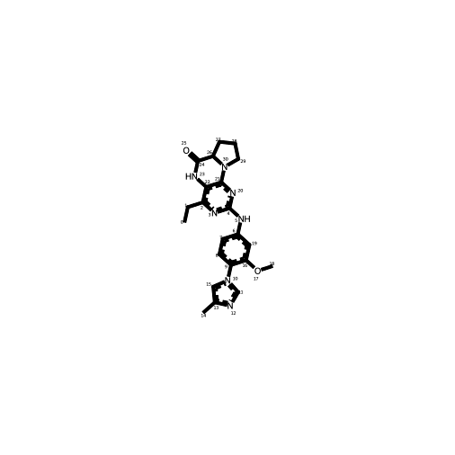 CCc1nc(Nc2ccc(-n3cnc(C)c3)c(OC)c2)nc2c1NC(=O)C1CCCN21